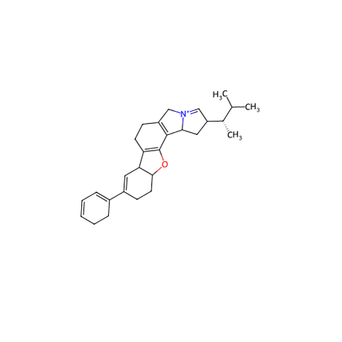 CC(C)[C@H](C)C1C=[N+]2CC3=C(C4=C(CC3)C3C=C(C5=CC=CCC5)CCC3O4)C2C1